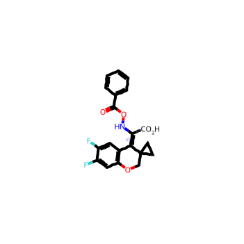 O=C(O)/C(NOC(=O)c1ccccc1)=C1/c2cc(F)c(F)cc2OCC12CC2